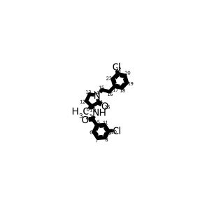 CC1(NC(=O)c2cccc(Cl)c2)CCN(CCc2cccc(Cl)c2)C1=O